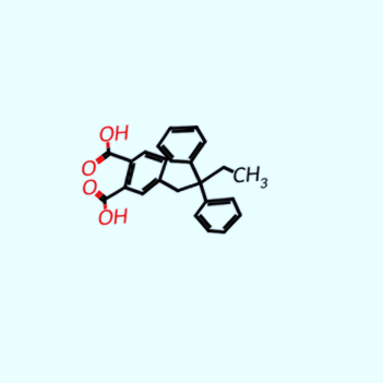 CCC(Cc1ccc(C(=O)O)c(C(=O)O)c1)(c1ccccc1)c1ccccc1